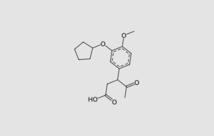 COc1ccc(C(CC(=O)O)C(C)=O)cc1OC1CCCC1